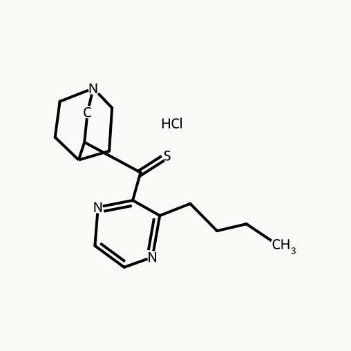 CCCCc1nccnc1C(=S)C1CN2CCC1CC2.Cl